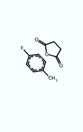 Cc1ccc(F)cc1.O=C1CCC(=O)O1